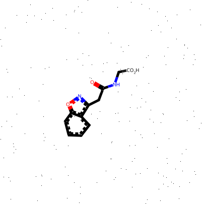 O=C(O)CNC(=O)Cc1noc2ccccc12